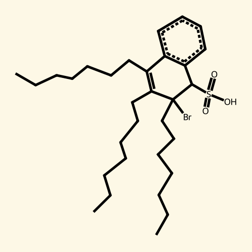 CCCCCCCC1=C(CCCCCCC)C(Br)(CCCCCCC)C(S(=O)(=O)O)c2ccccc21